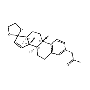 CC(=O)Oc1ccc2c(c1)CC[C@@H]1[C@@H]2CC[C@@]2(C)[C@H]1C=CC21OCCO1